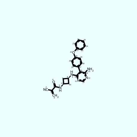 C=C(C#N)C(=O)N[C@H]1C[C@@H](Nc2ncnc(N)c2-c2ccc(Oc3ccccc3)cc2)C1